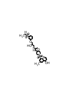 CNS(=O)(=O)c1cccc(OC[C@@H](O)CN[C@H]2COC3(CCN(S(=O)(=O)c4cc(C)cc5c(O)ccnc45)CC3)C2)c1